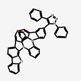 c1ccc(-c2nnn(-c3ccccc3)c2-c2ccc3c(c2)c2ccccc2n3-c2ccccc2-n2c3ccccc3c3ccc4c5ccccc5oc4c32)cc1